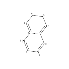 C1=c2cncnc2=CCC1